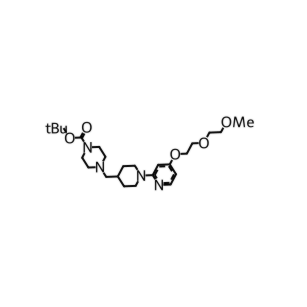 COCCOCCOc1ccnc(N2CCC(CN3CCN(C(=O)OC(C)(C)C)CC3)CC2)c1